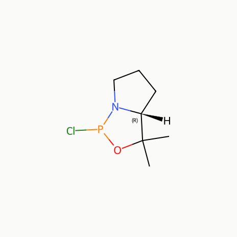 CC1(C)OP(Cl)N2CCC[C@@H]21